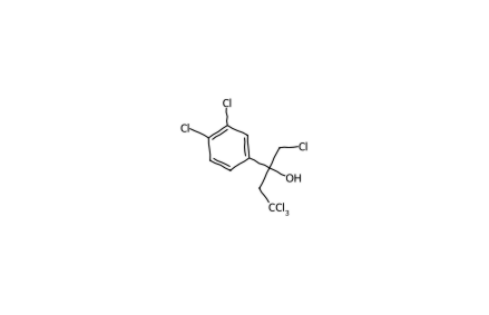 OC(CCl)(CC(Cl)(Cl)Cl)c1ccc(Cl)c(Cl)c1